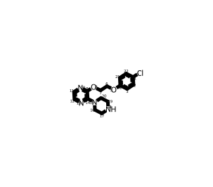 Clc1ccc(OCCOc2nccnc2N2CCNCC2)cc1